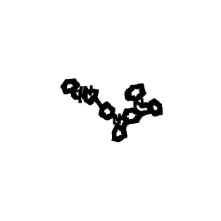 C1=C(c2ccc(-n3c4ccccc4c4cc5c6ccccc6n(-c6ccccc6)c5cc43)cc2)CNN1Cc1ccccc1